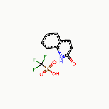 O=S(=O)(O)C(F)(F)F.O=c1ccc2ccccc2[nH]1